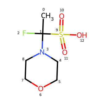 CC(F)(N1CCOCC1)S(=O)(=O)O